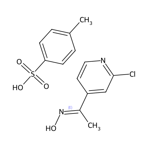 C/C(=N\O)c1ccnc(Cl)c1.Cc1ccc(S(=O)(=O)O)cc1